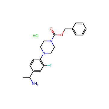 CC(N)c1ccc(N2CCN(C(=O)OCc3ccccc3)CC2)c(F)c1.Cl